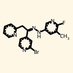 Cc1cc(N/N=C(/Cc2ccccn2)c2ccnc(Br)c2)cnc1F